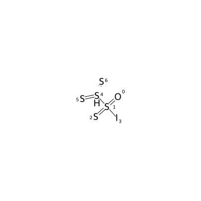 O=S(=S)(I)[SH](=S)=S